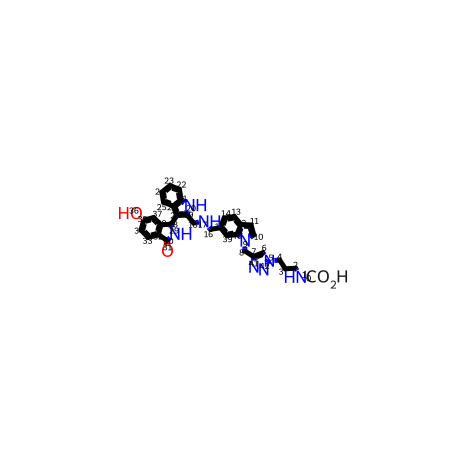 O=C(O)NCCCn1cc(Cn2ccc3ccc(CNCc4[nH]c5ccccc5c4C4NC(=O)c5ccc(O)cc54)cc32)nn1